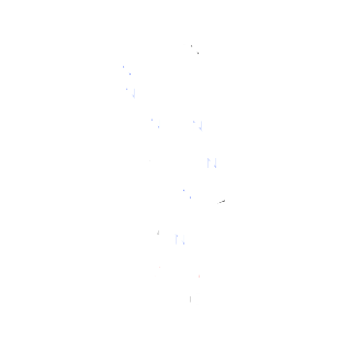 C[C@@H]1CN(c2ncnc3c2C2(CCC2)CN3c2cc(C#N)cnn2)[C@@H](C)CN1C(=O)OC(C)(C)C